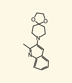 Cc1nc2ccccc2cc1N1CCC2(CC1)OCCO2